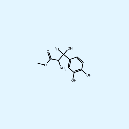 [2H]C(O)(c1ccc(O)c(O)c1)C(N)C(=O)OC